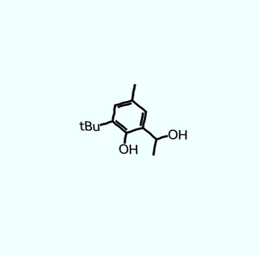 Cc1cc(C(C)O)c(O)c(C(C)(C)C)c1